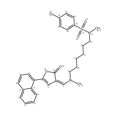 CN(/C=C1/N=C(c2cccc3ccccc23)OC1=O)CCCCCCN(C)S(=O)(=O)c1ccc(Cl)cc1